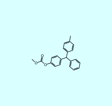 COC(=O)Oc1ccc(C(c2ccccc2)c2ccc(C)cc2)cc1